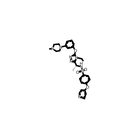 CCn1c(Oc2cccc(N3CCN(C)CC3)c2)nnc1[C@@H](C)NS(=O)(=O)c1ccc(Oc2ccncc2)cc1